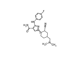 CN(C)CC1CC[C@@H](n2cc(C(N)=O)c(Nc3ccc(F)cc3)n2)C(C#N)C1